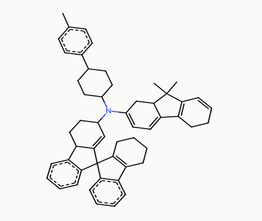 Cc1ccc(C2CCC(N(C3=CC=C4C5=C(C=CCC5)C(C)(C)C4C3)C3C=C4C(CC3)c3ccccc3C43C4=C(CCCC4)c4ccccc43)CC2)cc1